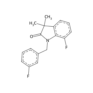 CC1(C)C(=O)N(Cc2cccc(F)c2)c2c(F)cccc21